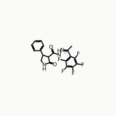 C/C(=N/NC(=O)C1C(=O)NCC1c1ccccc1)c1c(F)c(F)c(F)c(F)c1F